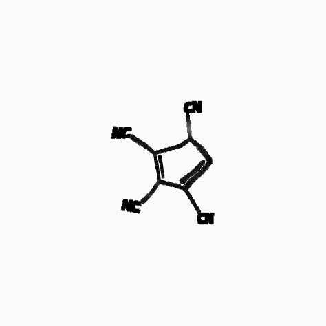 N#CC1=CC(C#N)C(C#N)=C1C#N